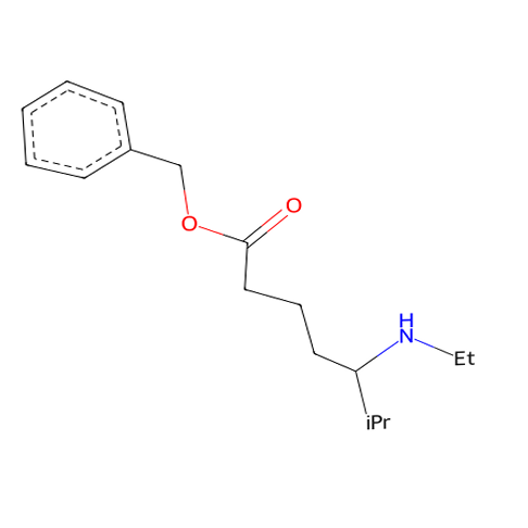 CCNC(CCCC(=O)OCc1ccccc1)C(C)C